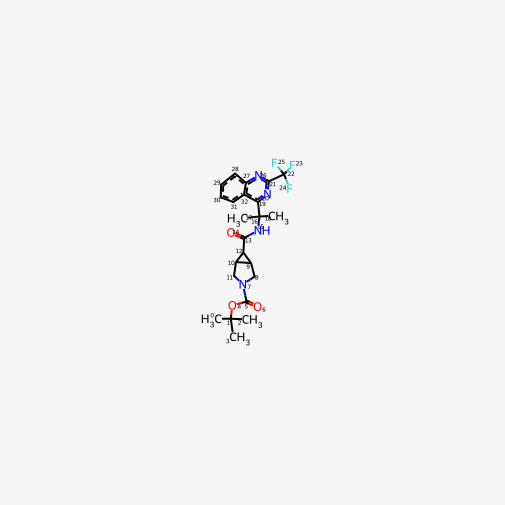 CC(C)(C)OC(=O)N1CC2C(C1)C2C(=O)NC(C)(C)c1nc(C(F)(F)F)nc2ccccc12